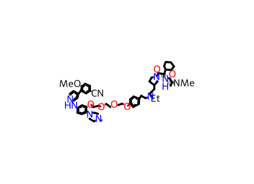 CCN(CCc1ccc(OCCOCCOCCOc2cc(Nc3cc(-c4cc(C#N)ccc4OC)ccn3)ccc2N2CCN(C)CC2)cc1)CCC1CCN(C(=O)[C@@H](NC(=O)[C@H](C)NC)C2CCCCC2)C1